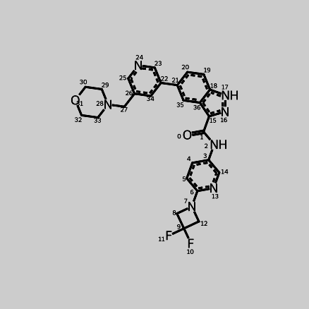 O=C(Nc1ccc(N2CC(F)(F)C2)nc1)c1n[nH]c2ccc(-c3cncc(CN4CCOCC4)c3)cc12